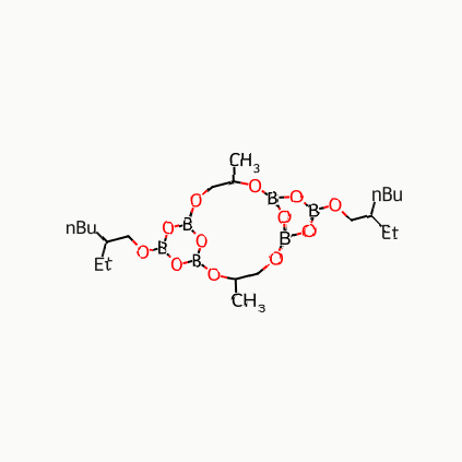 CCCCC(CC)COB1OB2OCC(C)OB3OB(OCC(CC)CCCC)OB(OCC(C)OB(O1)O2)O3